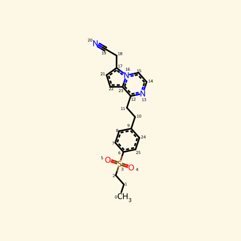 CCCS(=O)(=O)c1ccc(CCc2nccn3c(CC#N)ccc23)cc1